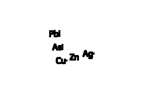 [Ag].[As].[Cu].[Pb].[Zn]